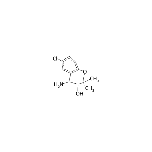 CC1(C)Oc2ccc(Cl)cc2C(N)C1O